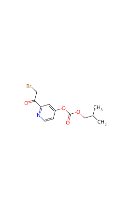 CC(C)COC(=O)Oc1ccnc(C(=O)CBr)c1